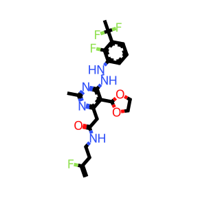 C=C(F)CCNC(=O)Cc1nc(C)nc(NNc2cccc(C(C)(F)F)c2F)c1C1OCCO1